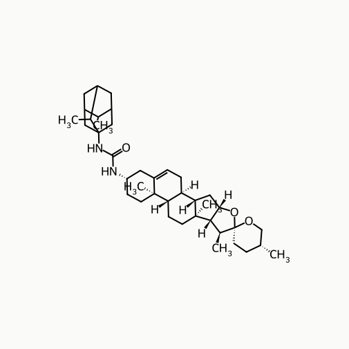 CC1C2CC3CC1CC(NC(=O)N[C@H]1CC[C@@]4(C)C(=CC[C@H]5[C@@H]6C[C@@H]7O[C@]8(CC[C@@H](C)CO8)[C@@H](C)[C@@H]7[C@@]6(C)CC[C@@H]54)C1)(C2)C3C